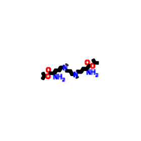 CC(C)OC(=O)/C(N)=C/C=C/N(C)CCCN(C)/C=C/C=C(\N)C(=O)OC(C)C